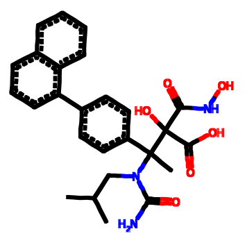 CC(C)CN(C(N)=O)C(C)(c1ccc(-c2cccc3ccccc23)cc1)C(O)(C(=O)O)C(=O)NO